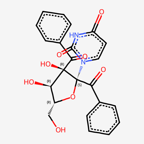 O=C(c1ccccc1)[C@@]1(O)[C@H](O)[C@@H](CO)O[C@@]1(C(=O)c1ccccc1)n1ccc(=O)[nH]c1=O